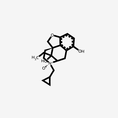 CCC1(O)C2Cc3c(O)ccc4c3[C@@]1(CC[N@+]2([O-])CC1CC1)CO4